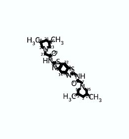 CC1CC(C)CN(CC(=O)Nc2nc3cc4nc(NC(=O)CN5CC(C)CC(C)C5)sc4cc3s2)C1